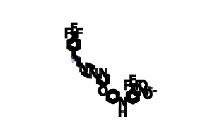 O=[N+]([O-])c1ccc(N[C@H]2CC[C@H](Oc3ccnc(N4CCN(C/C=C/c5ccc(C(F)(F)F)cc5)CC4)c3)CC2)cc1C(F)(F)F